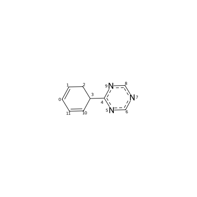 C1=CCC(c2ncncn2)C=C1